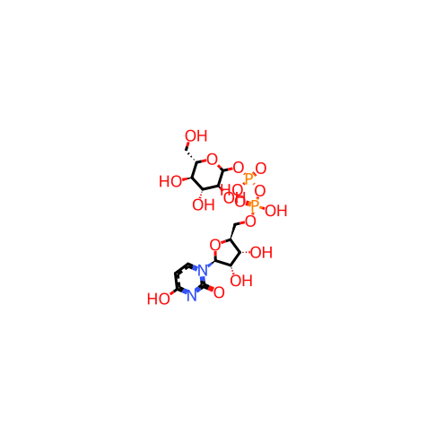 O=c1nc(O)ccn1[C@H]1O[C@@H](COP(=O)(O)OP(=O)(O)OC2O[C@@H](CO)[C@H](O)[C@@H](O)[C@@H]2O)[C@H](O)[C@@H]1O